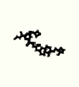 CCCN(C)c1nc(NC2COC2)cc(C(=O)NC[C@H](O)CN2CCc3c(ccc(OCc4ocnc4C)c3C)C2)n1